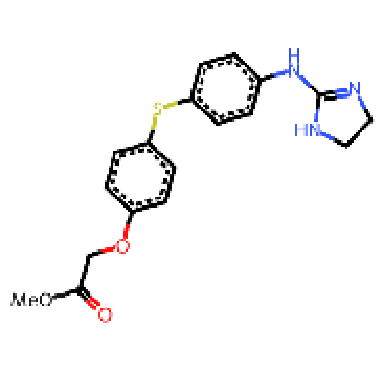 COC(=O)COc1ccc(Sc2ccc(NC3=NCCN3)cc2)cc1